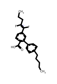 CCCCCc1ccc(-c2cc(/C(F)=C(\F)CCC)ccc2C(=O)O)cc1